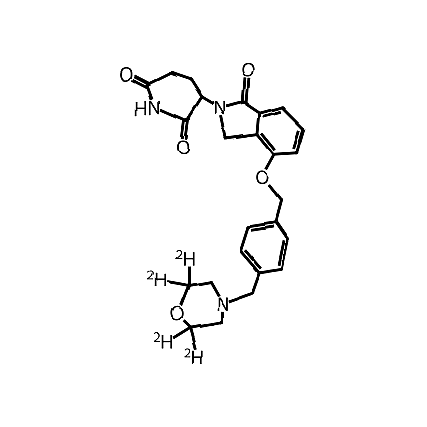 [2H]C1([2H])CN(Cc2ccc(COc3cccc4c3CN(C3CCC(=O)NC3=O)C4=O)cc2)CC([2H])([2H])O1